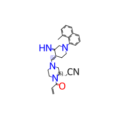 C=CC(=O)N1CCN(/C=C2\CCN(c3cccc4cccc(C)c34)CC2=N)C[C@@H]1CC#N